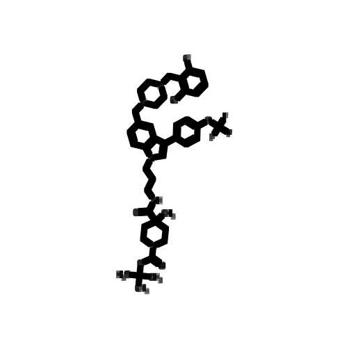 CC(C)(C)OC(=O)N1CCC(C)(C(=O)NCCCn2cc(-c3ccc(OC(F)(F)F)cc3)c3cc(CN4CCN(Cc5c(Cl)cccc5Cl)CC4)ccc32)CC1